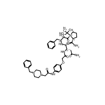 CC(C)(C)[N+]1(C(=O)[C@@H](O)[C@H](Cc2ccccc2)NC(=O)[C@H](CC(N)=O)NC(=O)COc2ccc(NC(=O)CN3CCN(Cc4ccccc4)CC3)cc2)CCC[C@H]1C(N)=O